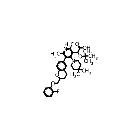 Cc1nc(C)c(C(OC(C)(C)C)C(=O)O)c(N2CCC(C)(C)CC2)c1-c1ccc2c(c1)CCC(COc1ccccc1F)O2